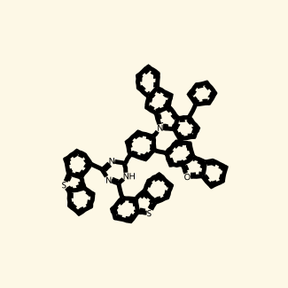 c1ccc(-c2cccc3c2c2cc4ccccc4cc2n3-c2ccc(C3N=C(c4cccc5sc6ccccc6c45)N=C(c4cccc5sc6ccccc6c45)N3)cc2-c2ccc3c(c2)oc2ccccc23)cc1